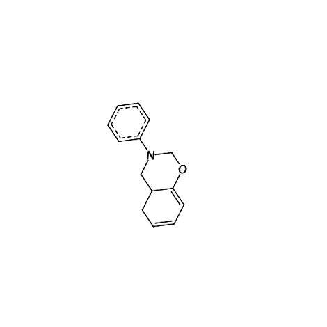 C1=CCC2CN(c3ccccc3)COC2=C1